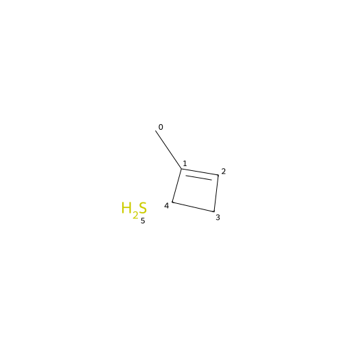 CC1=CCC1.S